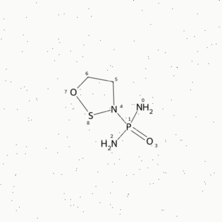 NP(N)(=O)N1CCOS1